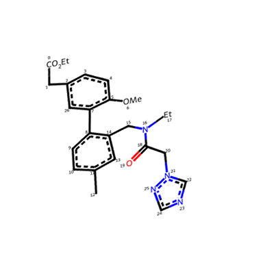 CCOC(=O)Cc1ccc(OC)c(-c2ccc(C)cc2CN(CC)C(=O)Cn2cncn2)c1